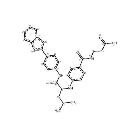 CC(C)CC(Nc1ccc(C(=O)NCCC(=O)O)cc1)C(=O)Nc1ccc(-c2cc3ccccc3o2)cc1